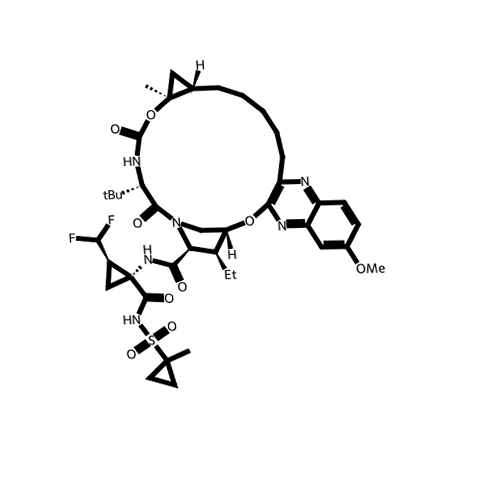 CC[C@@H]1[C@@H]2CN(C(=O)[C@H](C(C)(C)C)NC(=O)O[C@@]3(C)C[C@@H]3CCCCCc3nc4ccc(OC)cc4nc3O2)[C@@H]1C(=O)N[C@]1(C(=O)NS(=O)(=O)C2(C)CC2)C[C@H]1C(F)F